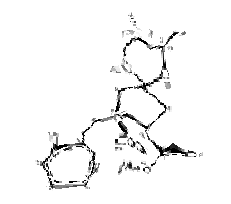 COC(=O)[C@@H]1CC2(C[N+]1(Cc1ccccc1)C(=O)[O-])O[C@H](C)[C@@H](C)O2